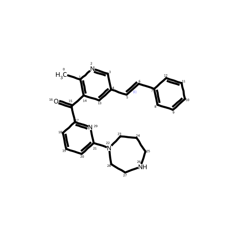 Cc1ncc(/C=C/c2ccccc2)cc1C(=O)c1cccc(N2CCCNCC2)n1